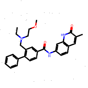 CCN(CCOC)Cc1cc(C(=O)Nc2ccc3cc(C)c(=O)[nH]c3c2)ccc1-c1ccccc1